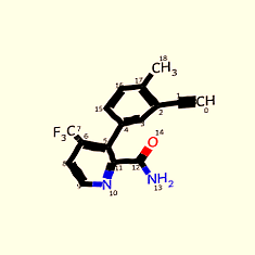 C#Cc1cc(-c2c(C(F)(F)F)ccnc2C(N)=O)ccc1C